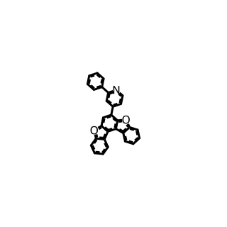 c1ccc(-c2cc(-c3cc4oc5ccccc5c4c4c3oc3ccccc34)ccn2)cc1